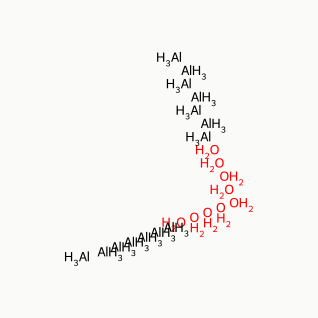 O.O.O.O.O.O.O.O.O.[AlH3].[AlH3].[AlH3].[AlH3].[AlH3].[AlH3].[AlH3].[AlH3].[AlH3].[AlH3].[AlH3].[AlH3].[AlH3].[AlH3]